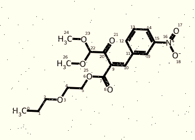 CCCOCCOC(=O)/C(=C/c1cccc([N+](=O)[O-])c1)C(=O)C(OC)OC